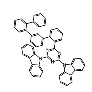 c1ccc(-c2ccccc2-c2cccc(-c3ccccc3-c3nc(-n4c5ccccc5c5ccccc54)nc(-n4c5ccccc5c5ccccc54)n3)c2)cc1